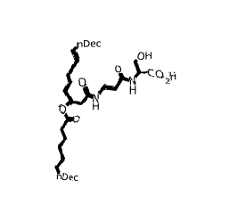 CCCCCCCCCCCCCCCC(=O)OC(CCCCCCCCCCCCCCC)CC(=O)NCCC(=O)N[C@@H](CO)C(=O)O